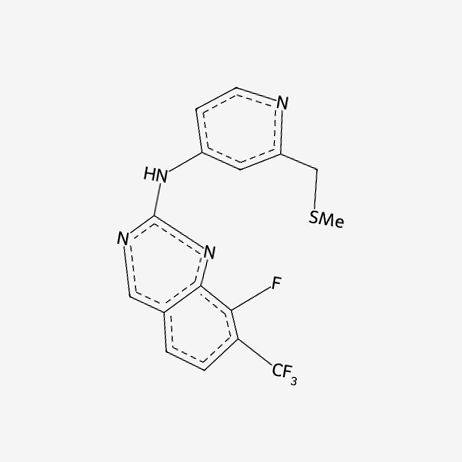 CSCc1cc(Nc2ncc3ccc(C(F)(F)F)c(F)c3n2)ccn1